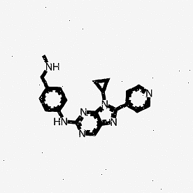 CNCc1ccc(Nc2ncc3nc(-c4ccncc4)n(C4CC4)c3n2)cc1